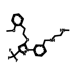 CNCCNCc1cccc(-n2nc(C(F)(F)F)cc2OCCc2ccccc2OC)c1